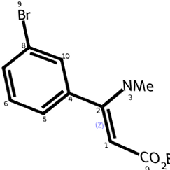 CCOC(=O)/C=C(\NC)c1cccc(Br)c1